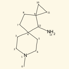 CN1CCC2(CC1)CCC1(CC1)C2N